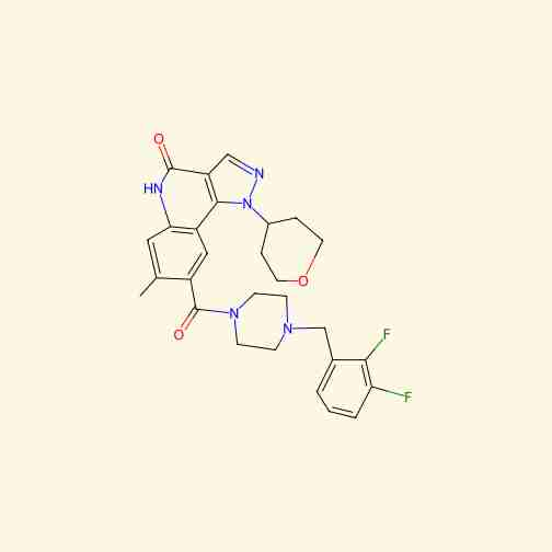 Cc1cc2[nH]c(=O)c3cnn(C4CCOCC4)c3c2cc1C(=O)N1CCN(Cc2cccc(F)c2F)CC1